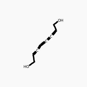 OCC=C=C=C=C=CCO